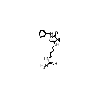 N=C(N)NCCCCNC(=O)C1(C(=O)NCc2ccccc2)CC1